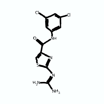 NC(N)=Nc1nc(C(=O)Nc2cc(Cl)cc(Cl)c2)cs1